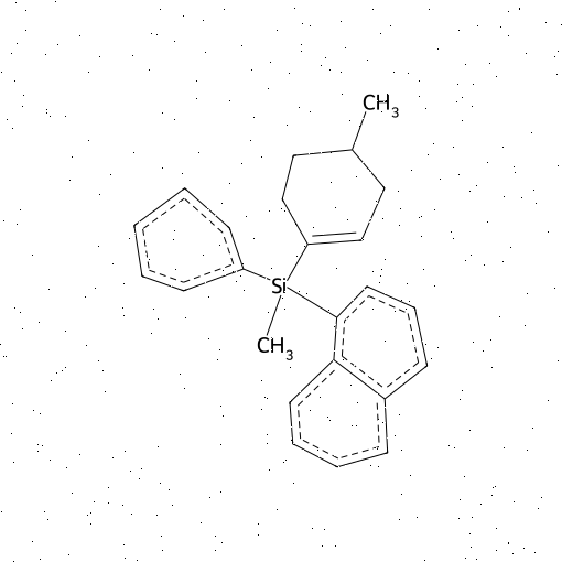 CC1CC=C([Si](C)(c2ccccc2)c2cccc3ccccc23)CC1